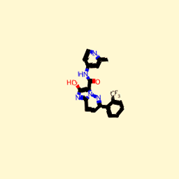 Cc1cc(NC(=O)c2c(O)nc3ccc(-c4ccccc4C(F)(F)F)nn23)ccn1